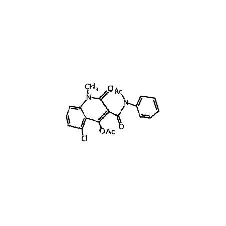 CC(=O)Oc1c(C(=O)N(C(C)=O)c2ccccc2)c(=O)n(C)c2cccc(Cl)c12